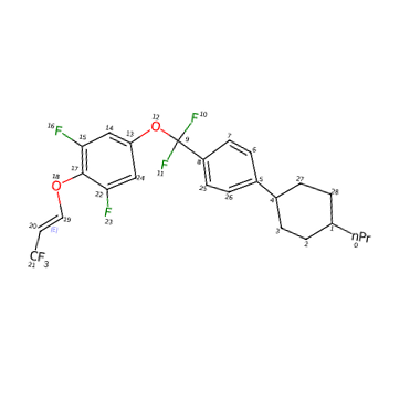 CCCC1CCC(c2ccc(C(F)(F)Oc3cc(F)c(O/C=C/C(F)(F)F)c(F)c3)cc2)CC1